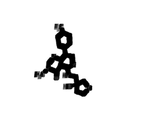 Cn1cnc2c(-c3ccc(C(F)(F)F)cc3)cnc(NC[C@@]3(O)CCOC3)c2c1=O